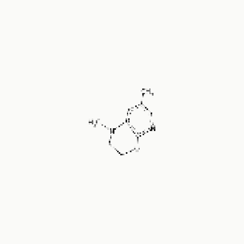 Cc1cnc2c(c1)N(C)CCO2